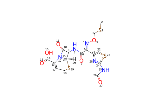 CSCON=C(C(=O)NC1C(=O)N2C(C(=O)O)=CCS[C@@H]12)c1csc(NC=O)n1